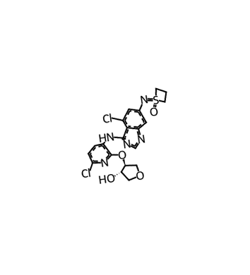 O=S1(=Nc2cc(Cl)c3c(Nc4ccc(Cl)nc4O[C@H]4COC[C@@H]4O)ncnc3c2)CCC1